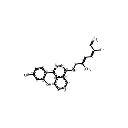 C=C/C(F)=C\C=C(/C)CNc1nnc(-c2ccc(Cl)cc2O)c2ccncc12